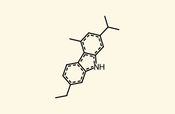 CCc1ccc2c(c1)[nH]c1cc(C(C)C)cc(C)c12